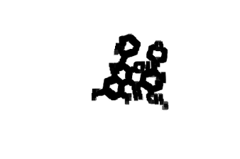 Cc1cnc(N2CCOCC2)cc1Nc1c(C)c(-c2ccccn2)nc2cc(F)cc(F)c12